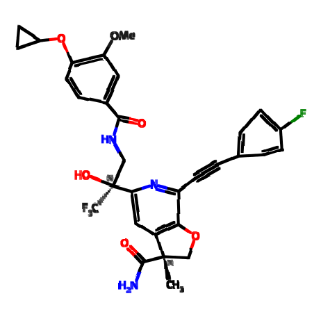 COc1cc(C(=O)NC[C@](O)(c2cc3c(c(C#Cc4ccc(F)cc4)n2)OC[C@]3(C)C(N)=O)C(F)(F)F)ccc1OC1CC1